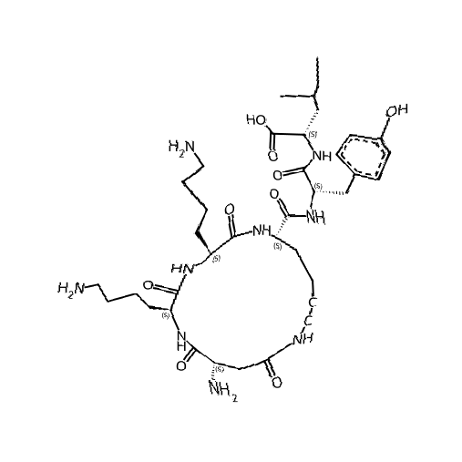 CC(C)C[C@H](NC(=O)[C@H](Cc1ccc(O)cc1)NC(=O)[C@@H]1CCCCNC(=O)C[C@H](N)C(=O)N[C@@H](CCCCN)C(=O)N[C@@H](CCCCN)C(=O)N1)C(=O)O